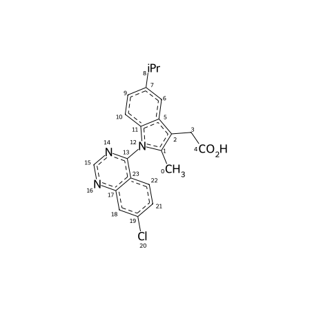 Cc1c(CC(=O)O)c2cc(C(C)C)ccc2n1-c1ncnc2cc(Cl)ccc12